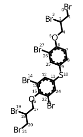 BrCC(Br)COc1ccc(Sc2cc(Br)c(OCC(Br)CBr)c(Br)c2)cc1Br